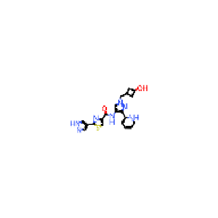 O=C(Nc1cn(CC2CC(O)C2)nc1C1=CC=CCN1)c1csc(-c2cn[nH]c2)n1